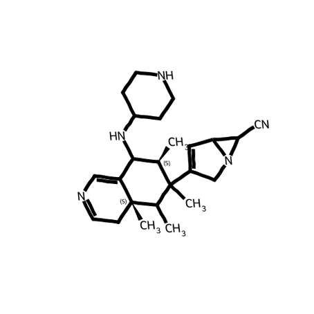 CC1C(C)(C2=CC3C(C#N)N3C2)[C@H](C)C(NC2CCNCC2)C2=CN=CC[C@]21C